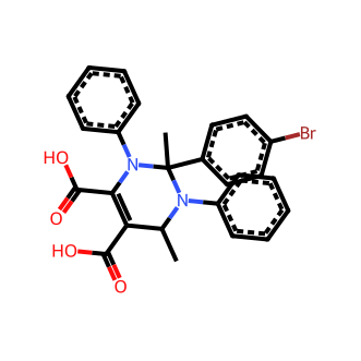 CC1C(C(=O)O)=C(C(=O)O)N(c2ccccc2)C(C)(c2ccc(Br)cc2)N1c1ccccc1